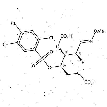 CON=C[C@@H](F)[C@H](OC(=O)O)[C@@H](COC(=O)O)OS(=O)(=O)c1cc(Cl)c(Cl)cc1Cl